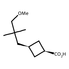 COCC(C)(C)C[C@H]1C[C@@H](C(=O)O)C1